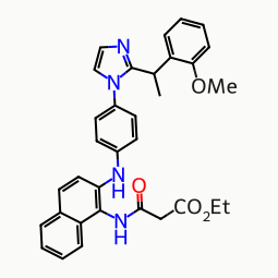 CCOC(=O)CC(=O)Nc1c(Nc2ccc(-n3ccnc3C(C)c3ccccc3OC)cc2)ccc2ccccc12